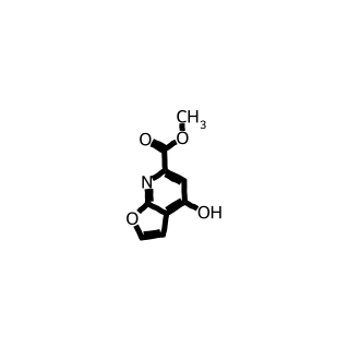 COC(=O)c1cc(O)c2ccoc2n1